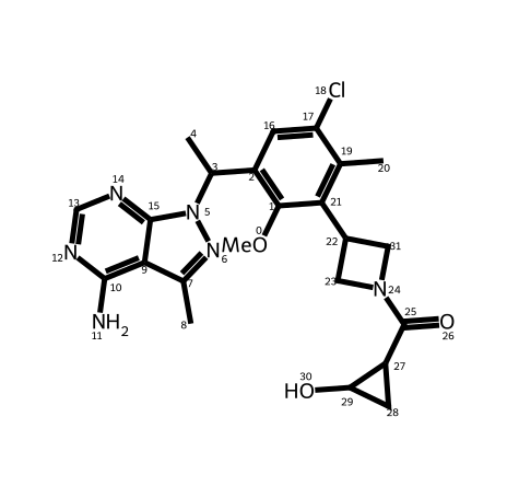 COc1c(C(C)n2nc(C)c3c(N)ncnc32)cc(Cl)c(C)c1C1CN(C(=O)C2CC2O)C1